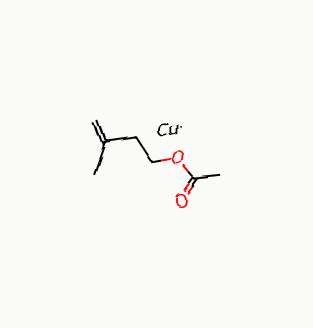 C=C(C)CCOC(C)=O.[Cu]